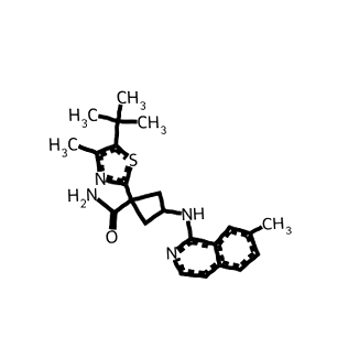 Cc1ccc2ccnc(NC3CC(C(N)=O)(c4nc(C)c(C(C)(C)C)s4)C3)c2c1